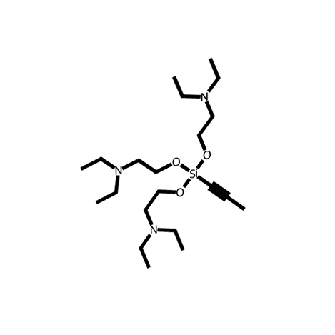 CC#C[Si](OCCN(CC)CC)(OCCN(CC)CC)OCCN(CC)CC